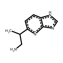 CC(CN)c1ccc2[nH]cnc2n1